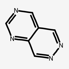 c1ncc2cnncc2n1